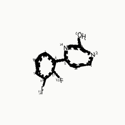 Oc1nccc(-c2cccc(F)c2F)n1